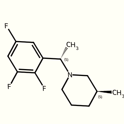 C[C@H]1CCCN([C@@H](C)c2cc(F)cc(F)c2F)C1